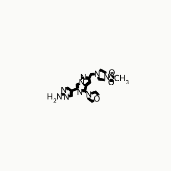 CS(=O)(=O)N1CCN(Cc2cc3c(N4CCOCC4)nc(-c4cnc(N)nc4)cn3n2)CC1